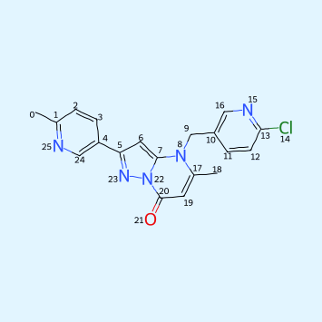 Cc1ccc(-c2cc3n(Cc4ccc(Cl)nc4)c(C)cc(=O)n3n2)cn1